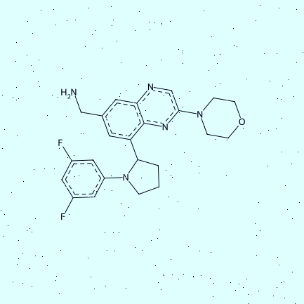 NCc1cc(C2CCCN2c2cc(F)cc(F)c2)c2nc(N3CCOCC3)cnc2c1